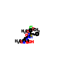 COc1cc2cc(C(=O)Nc3nc(-c4cc(OC)c(Cl)cc4OC)c(CCC4CCCCC4)s3)n(CC(=O)O)c2cn1